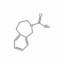 CC(C)(C)C(=O)N1CCCc2ccccc2C1